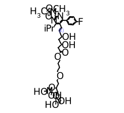 CC(C)c1nc(N(C)S(C)(=O)=O)nc(-c2ccc(F)cc2)c1/C=C/C(O)CC(O)CC(=O)OCCCCOCCC(CON(O)O)ON(O)O